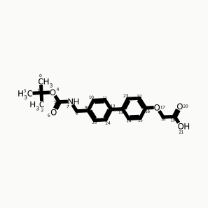 CC(C)(C)OC(=O)NCc1ccc(-c2ccc(OCC(=O)O)cc2)cc1